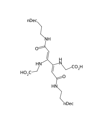 CCCCCCCCCCCCNC(=O)C=C(NCC(=O)O)C(=CC(=O)NCCCCCCCCCCCC)NCC(=O)O